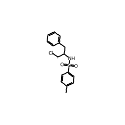 Cc1ccc(S(=O)(=O)NC([CH]Cl)Cc2ccccc2)cc1